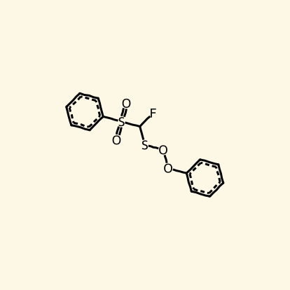 O=S(=O)(c1ccccc1)C(F)SOOc1ccccc1